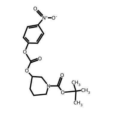 CC(C)(C)OC(=O)N1CCCC(OC(=O)Oc2ccc([N+](=O)[O-])cc2)C1